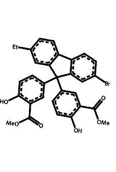 CCc1ccc2c(c1)C(c1ccc(O)c(C(=O)OC)c1)(c1ccc(O)c(C(=O)OC)c1)c1cc(Br)ccc1-2